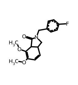 COC1=C(OC)C2C(=O)N(Cc3ccc(F)cc3)CC2C=C1